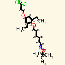 CCc1cc(OCC=C(Cl)Cl)cc(CC)c1OCCCCCC=NOC(C)(C)C